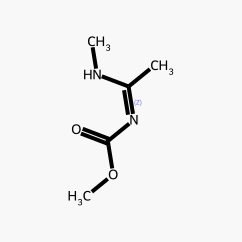 CN/C(C)=N\C(=O)OC